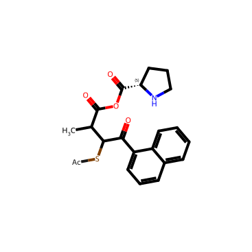 CC(=O)SC(C(=O)c1cccc2ccccc12)C(C)C(=O)OC(=O)[C@@H]1CCCN1